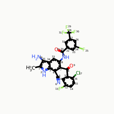 Cc1[nH]c2c(C#N)c(C(=O)c3cc(F)ccc3Cl)c(NC(=O)c3cc(F)cc(C(F)(F)F)c3)cc2c1N